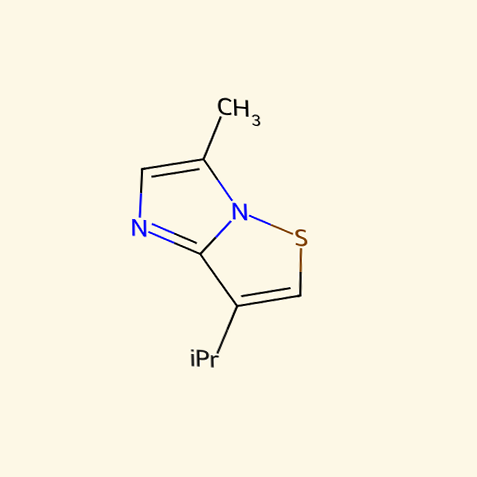 Cc1cnc2c(C(C)C)csn12